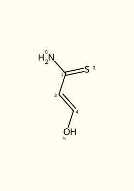 NC(=S)C=CO